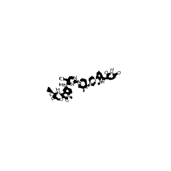 C[C@H]1CN(c2ncc(Cl)c(Nc3ccc4c(c3)c3c(c(=O)n4C)OCC(F)(F)[C@H](C4CC4)N3)n2)CC[C@H]1CN1CCN(c2cccc3c(C4CCC(=O)NC4=O)nn(C)c23)CC1